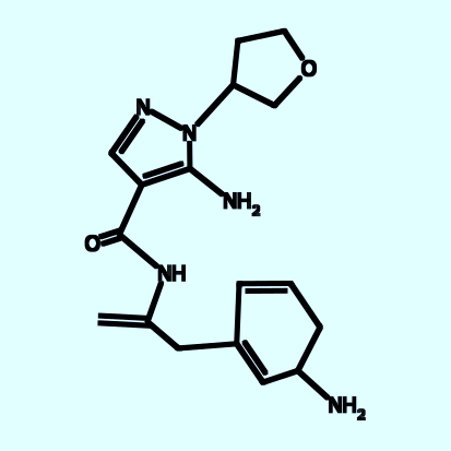 C=C(CC1=CC(N)CC=C1)NC(=O)c1cnn(C2CCOC2)c1N